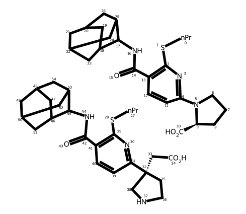 CCCSc1nc(N2CCC[C@H]2C(=O)O)ccc1C(=O)NC1C2CC3CC(C2)CC1C3.CCCSc1nc([C@@]2(CC(=O)O)CCNC2)ccc1C(=O)NC1C2CC3CC(C2)CC1C3